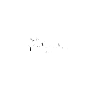 C=C(O)[C@@H](NC(=O)[C@@H](N)CCC(=O)O)C(N)=O